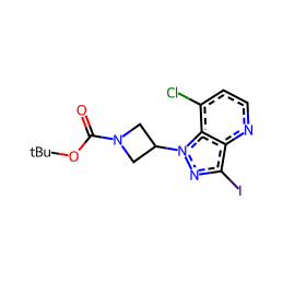 CC(C)(C)OC(=O)N1CC(n2nc(I)c3nccc(Cl)c32)C1